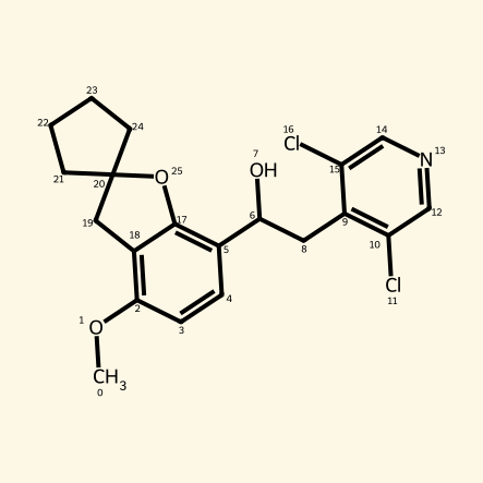 COc1ccc(C(O)Cc2c(Cl)cncc2Cl)c2c1CC1(CCCC1)O2